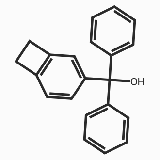 OC(c1ccccc1)(c1ccccc1)c1ccc2c(c1)CC2